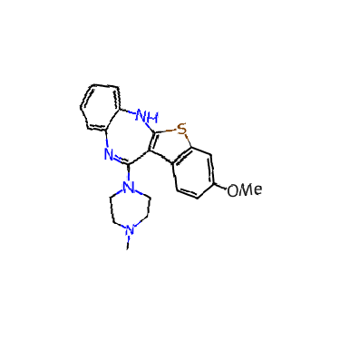 COc1ccc2c3c(sc2c1)Nc1ccccc1N=C3N1CCN(C)CC1